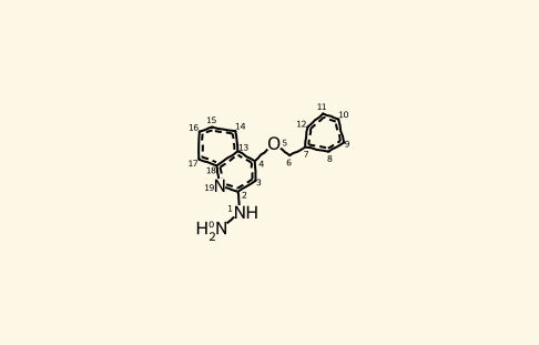 NNc1cc(OCc2ccccc2)c2ccccc2n1